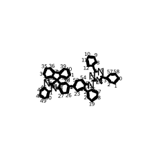 c1ccc(-c2nc(-c3ccccc3)nc(-n3c4ccccc4c4cc(-c5ccc6c(c5)C5(c7ccccc7-c7ccccc75)c5nc7ccccc7n5-6)ccc43)n2)cc1